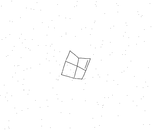 C1=C2CC3CC4CC1C234